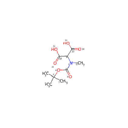 CN(C(=O)OC(C)(C)C)C(C(=O)O)C(=O)O